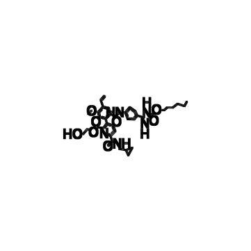 C=Cc1cc(C(=O)Nc2ccc(C(=N)NC(=O)OCCCCCC)cc2)c(-c2ccc(C(=O)NCC3CC3)nc2C(=O)OCCO)cc1OC